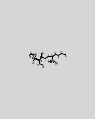 C=C(CCC(CCCC)NC)/C(CC)=C(C)\N=C/C